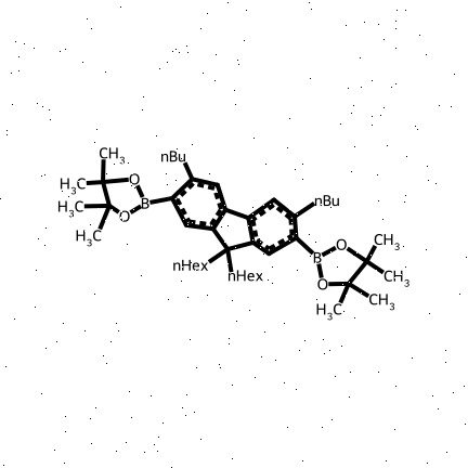 CCCCCCC1(CCCCCC)c2cc(B3OC(C)(C)C(C)(C)O3)c(CCCC)cc2-c2cc(CCCC)c(B3OC(C)(C)C(C)(C)O3)cc21